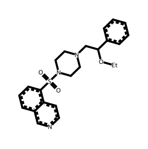 CCOC(CN1CCN(S(=O)(=O)c2cccc3cnccc23)CC1)c1ccccc1